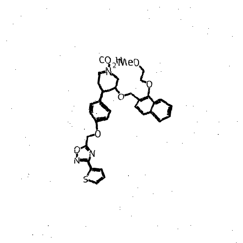 COCCOc1c(COC2CN(C(=O)O)CCC2c2ccc(OCc3nc(-c4cccs4)no3)cc2)ccc2ccccc12